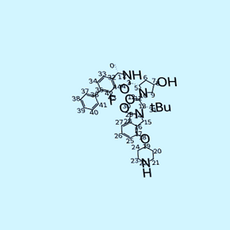 C[C@H](NC(=O)[C@@H]1C[C@@H](O)CN1C(=O)[C@@H](N1Cc2c(OC3CCNCC3)cccc2C1=O)C(C)(C)C)c1ccc(-c2ccccc2)c(F)c1